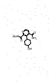 CNC(=O)c1nccc(C(N)=O)c1C1CCC(O)CC1